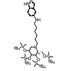 CC(C)(C)[Si](C)(C)OC[C@@H]1C(O[Si](C)(C)C(C)(C)C)C(O[Si](C)(C)C(C)(C)C)C(O[Si](C)(C)C(C)(C)C)CN1CCCCCCNc1ccc2[nH]ncc2c1